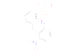 Cc1ccc(S(=O)(=O)O)cc1Cc1c([N+](=O)[O-])cccc1[N+](=O)[O-]